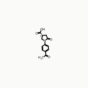 CC(=O)c1ccc(N2C[C@@H](C(=O)O)CC2=O)cc1